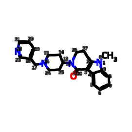 Cn1c2c(c3ccccc31)C(=O)N(C1CCN(Cc3cccnc3)CC1)CC2